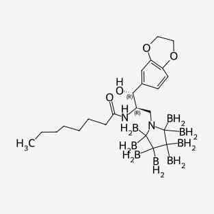 BC1(B)N(C[C@@H](NC(=O)CCCCCCC)[C@H](O)c2ccc3c(c2)OCCO3)C(B)(B)C(B)(B)C1(B)B